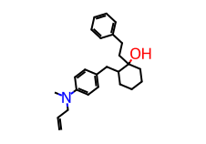 C=CCN(C)c1ccc(CC2CCCCC2(O)CCc2ccccc2)cc1